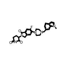 Cn1ccc2ccc(CN3CCN(c4cc5c(cc4F)C(=O)N(C4CCC(=O)NC4=O)C5)CC3)cc21